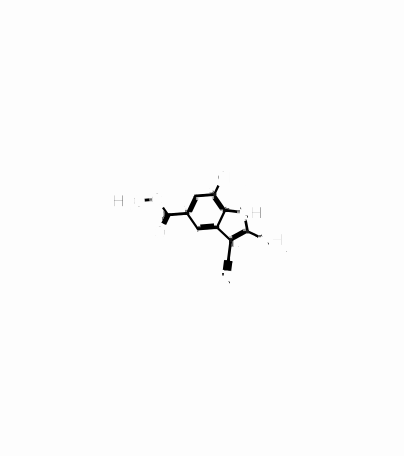 COC(=O)c1cc(C)c2[nH]c(N)c(C#N)c2c1